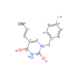 O=N/C=C/c1cn(Cc2ccc(F)cc2)c(=O)[nH]c1=O